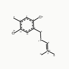 Cc1cc(Cl)c(CSC=[N+](C)C)cc1Cl